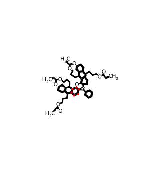 C=CC(=O)OCCCc1c2ccccc2c(CCCOC(=O)C=C)c2c(Oc3c(Oc4ccccc4)ccc4c(CCCOC(=O)C=C)c5ccccc5c(CCCOC(=O)C=C)c34)c(Oc3ccccc3)ccc12